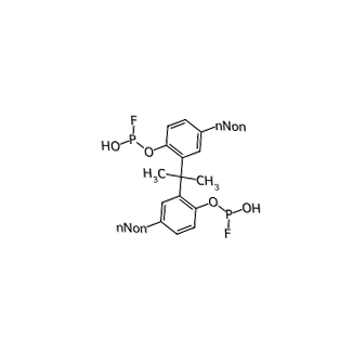 CCCCCCCCCc1ccc(OP(O)F)c(C(C)(C)c2cc(CCCCCCCCC)ccc2OP(O)F)c1